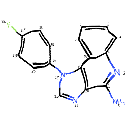 Nc1nc2ccccc2c2c1ncn2-c1ccc(F)cc1